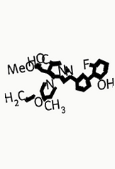 C=CCOC1(C)CCN(c2c(CC(=O)OC)c(C)cn3nc(-c4cccc(-c5c(O)cccc5F)c4)cc23)CC1